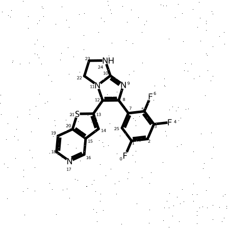 Fc1cc(F)c(F)c(-c2nc3n(c2-c2cc4cnccc4s2)CCN3)c1